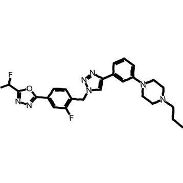 CCCN1CCN(c2cccc(-c3cn(Cc4ccc(-c5nnc(C(F)F)o5)cc4F)nn3)c2)CC1